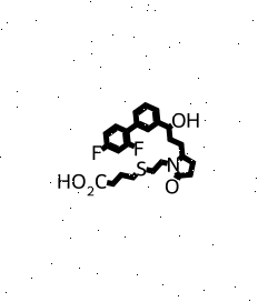 O=C(O)CCCSCCN1C(=O)CCC1CCC(O)c1cccc(-c2ccc(F)cc2F)c1